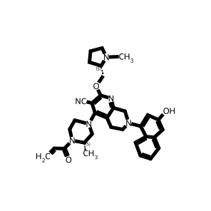 C=CC(=O)N1CCN(c2c(C#N)c(OC[C@@H]3CCCN3C)nc3c2CCN(c2cc(O)cc4ccccc24)C3)C[C@@H]1C